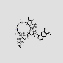 CCC(C)N(C(=O)O)[C@@H]1C(=O)N2[C@@H](C[C@@](C)(Oc3nccc4cc(OC)c(Cl)cc34)C2(F)F)C(=O)N[C@]2(C(=O)NS(=O)(=O)C3(C)CC3)C[C@H]2/C=C\CC[C@H](C)C[C@H]1CC